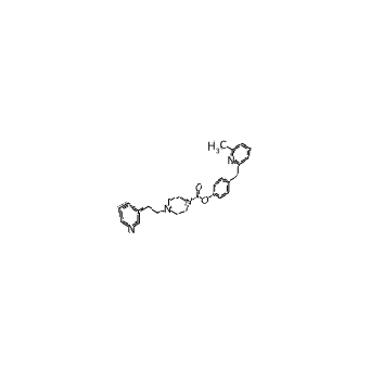 Cc1cccc(Cc2ccc(OC(=O)N3CCN(CCc4cccnc4)CC3)cc2)n1